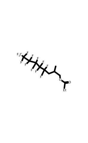 CCC(=O)OCC(C)CC(F)(F)C(F)(F)C(F)(F)C(F)(F)C(F)(F)C(F)(F)F